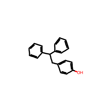 Oc1ccc(CC(c2ccccc2)c2ccccc2)cc1